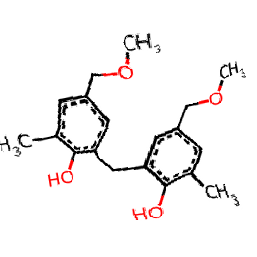 COCc1cc(C)c(O)c(Cc2cc(COC)cc(C)c2O)c1